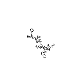 COC(CCc1ccc2c(=N)n(COP(O)OCc3ccccc3)cnn12)COP(N[C@@H](C)C(=O)OC1CC2(CCC2)C1)Oc1cccc2ccccc12